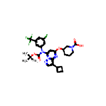 CC(C)(C)OC(=O)N(c1cc(F)cc(C(F)(F)F)c1)c1cc(OC2CCCN(C(=O)O)C2)nc2c(C3CCC3)cnn12